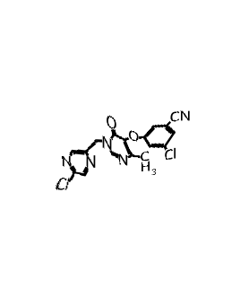 Cc1ncn(Cc2cnc(Cl)cn2)c(=O)c1Oc1cc(Cl)cc(C#N)c1